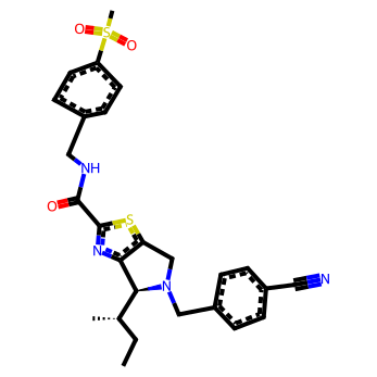 CC[C@H](C)[C@H]1c2nc(C(=O)NCc3ccc(S(C)(=O)=O)cc3)sc2CN1Cc1ccc(C#N)cc1